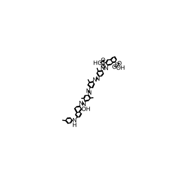 Cc1ccc(Nc2ccc3c(O)c(N=Nc4cc(C)c(N=Nc5ccc(N=Nc6ccc(N=Nc7cc8c(S(=O)(=O)O)cccc8cc7S(=O)(=O)O)c(C)c6)c(C)c5)cc4C)ccc3c2)cc1